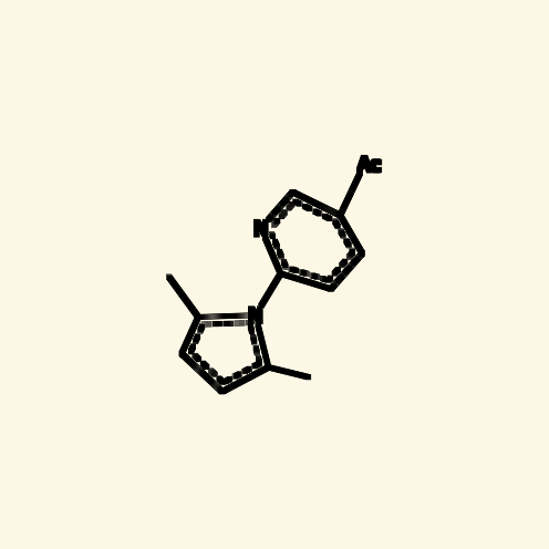 CC(=O)c1ccc(-n2c(C)ccc2C)nc1